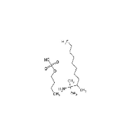 CCCCCCCCC(C)C(C)(C)N.CCCCOS(=O)(=O)O